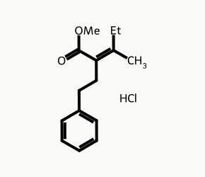 CCC(C)=C(CCc1ccccc1)C(=O)OC.Cl